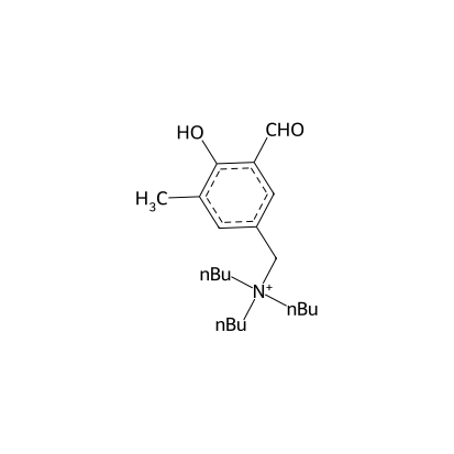 CCCC[N+](CCCC)(CCCC)Cc1cc(C)c(O)c(C=O)c1